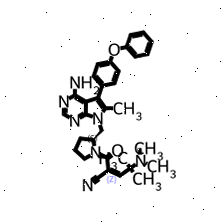 Cc1c(-c2ccc(Oc3ccccc3)cc2)c2c(N)ncnc2n1C[C@@H]1CCCN1C(=O)/C(C#N)=C\C(C)(C)N(C)C